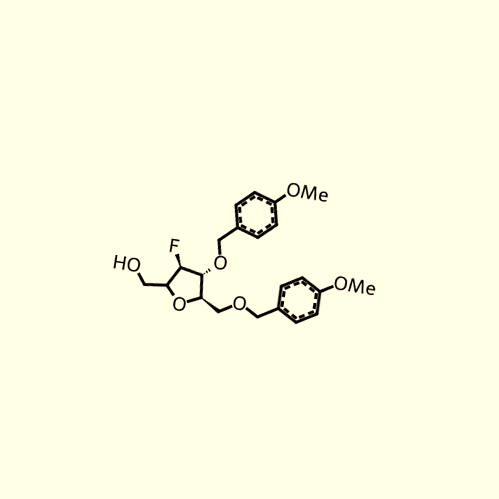 COc1ccc(COC[C@H]2OC(CO)[C@@H](F)[C@@H]2OCc2ccc(OC)cc2)cc1